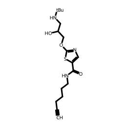 C#CCCCCNC(=O)c1cnc(OCC(O)CNC(C)(C)C)s1